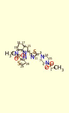 CCS(=O)(=O)N1CCN(Cc2cnc(-c3cc4cccc(N(C)S(=O)(=O)c5cccs5)c4[nH]3)s2)CC1